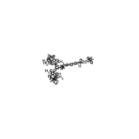 COc1cc2c(cc1OCc1cc(COc3cc4c(cc3C)C(=O)N3CCC[C@H]3[C@H](OC3CCCCO3)N4B(C)O)cc(-c3cn(CCOCCOCCOCCNC(=O)CCCCCN4C(=O)C=CC4=O)nn3)c1)N(B(C)O)[C@@H](C)[C@@H]1CCCN1C2=O